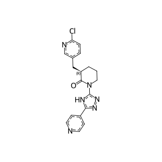 O=C1[C@@H](Cc2ccc(Cl)nc2)CCCN1c1nnc(-c2ccncc2)[nH]1